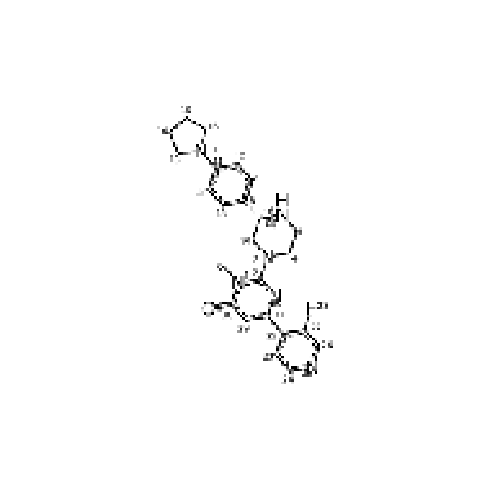 Cn1c(N2CCN[C@@H](c3ccc(N4CCCC4)cc3)C2)nc(-c2ccncc2F)cc1=O